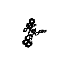 CNC(=O)C(Cc1ccccc1)NC[C@@H](Cc1ccc2ccccc2c1)NC(=O)OC(C)(C)C